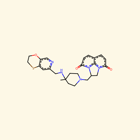 CC1(NCc2cc3c(cn2)OCCS3)CCN(CC2Cn3c(=O)ccc4ccc(=O)n2c43)CC1